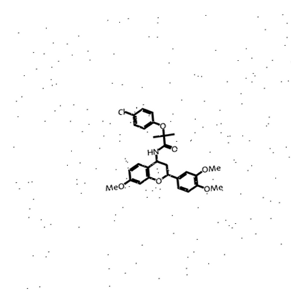 COc1ccc2c(c1)OC(c1ccc(OC)c(OC)c1)CC2NC(=O)C(C)(C)Oc1ccc(Cl)cc1